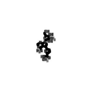 CNC(=O)c1ccc(-c2cn([C@@H]3OC(CO)C(O)[C@]3(C)O)c3ncnc(N)c23)s1